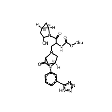 CC(C)(C)OC(=O)NC(CN1C[C@@H]2CC1C(=O)N2c1cccc(-c2nnn[nH]2)c1)C(=O)N1C(C#N)C[C@@H]2C[C@@H]21